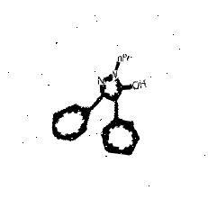 CCCn1nc(-c2ccccc2)c(-c2ccccc2)c1O